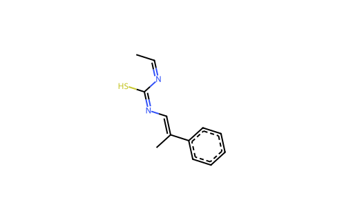 C\C=N/C(S)=N\C=C(/C)c1ccccc1